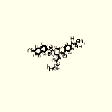 COC(=O)CC1CN(S(=O)(=O)c2ccc3cc(Cl)ccc3c2)CCN1C(=O)C1CCC(NC(C)=N)CC1.Cl